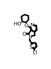 O=C1c2c(ccnc2O[C@H]2CCCC[C@@H]2O)CN1Cc1ccc(Cl)s1